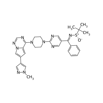 Cn1cc(-c2cc3c(N4CCN(c5ncc(C(=N[S@@+]([O-])C(C)(C)C)c6ccccc6)cn5)CC4)ncnn3c2)cn1